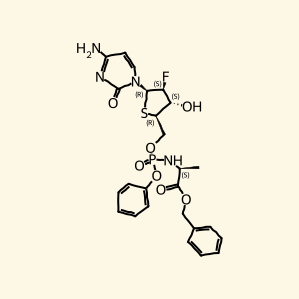 C[C@H](NP(=O)(OC[C@H]1S[C@@H](n2ccc(N)nc2=O)[C@@H](F)[C@@H]1O)Oc1ccccc1)C(=O)OCc1ccccc1